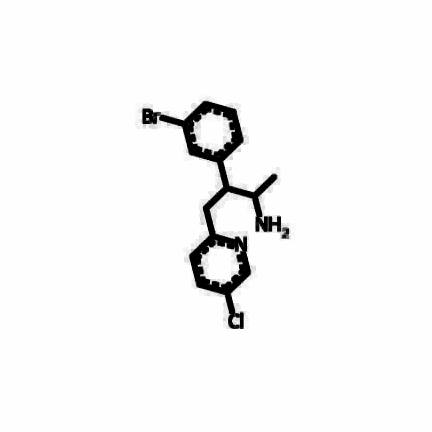 CC(N)C(Cc1ccc(Cl)cn1)c1cccc(Br)c1